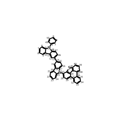 c1ccc(-n2c3ccccc3c3cc(-c4ccc5c(c4)c4ccccc4n5-c4ccc5c6ccccc6c6cccc7sc4c5c76)ccc32)cc1